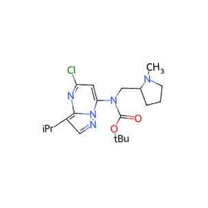 CC(C)c1cnn2c(N(CC3CCCN3C)C(=O)OC(C)(C)C)cc(Cl)nc12